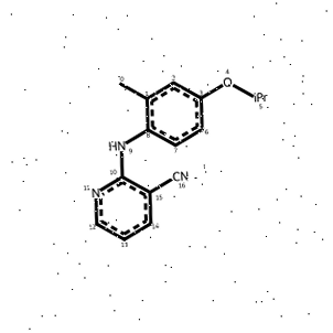 Cc1cc(OC(C)C)ccc1Nc1ncccc1C#N